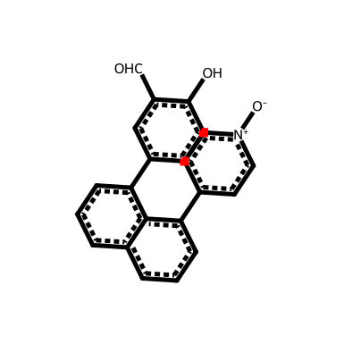 O=Cc1cc(-c2cccc3cccc(-c4cc[n+]([O-])cc4)c23)ccc1O